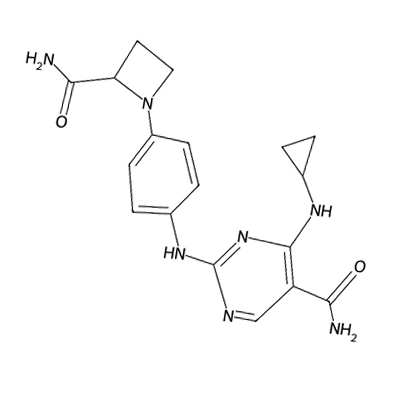 NC(=O)c1cnc(Nc2ccc(N3CCC3C(N)=O)cc2)nc1NC1CC1